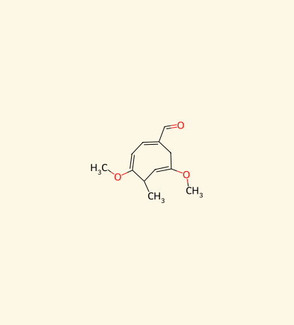 CO/C1=C\C(C)/C(OC)=C\C=C(\C=O)C1